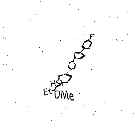 CCC(CC[SiH]1CCC([C@H]2CC[C@H](c3ccc(-c4ccc(F)cc4)cc3)CC2)CC1)OC